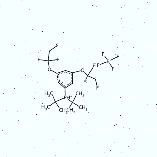 CC(C)(C)[PH+](c1cc(OC(F)(F)CF)cc(OC(F)(F)CF)c1)C(C)(C)C.F[B-](F)(F)F